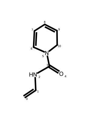 C=CNC(=O)N1C=CC=CC1